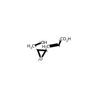 C1CO1.C=CC(=O)O.CO